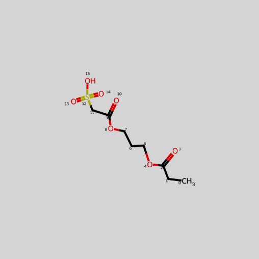 CCC(=O)OCCCOC(=O)CS(=O)(=O)O